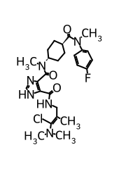 CC(CNC(=O)c1[nH]cnc1C(=O)N(C)[C@H]1CC[C@H](C(=O)N(C)c2ccc(F)cc2)CC1)=C(Cl)N(C)C